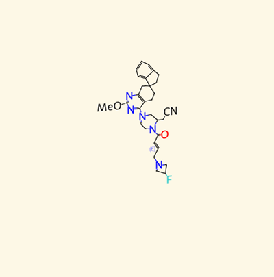 COc1nc2c(c(N3CCN(C(=O)/C=C/CN4CC(F)C4)C(CC#N)C3)n1)CCC1(CCc3ccccc31)C2